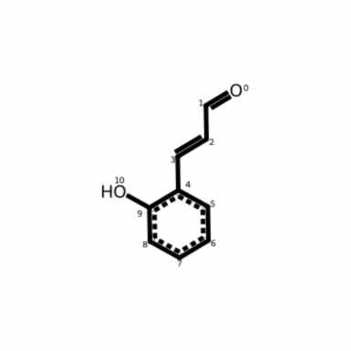 O=C/C=C/c1ccccc1O